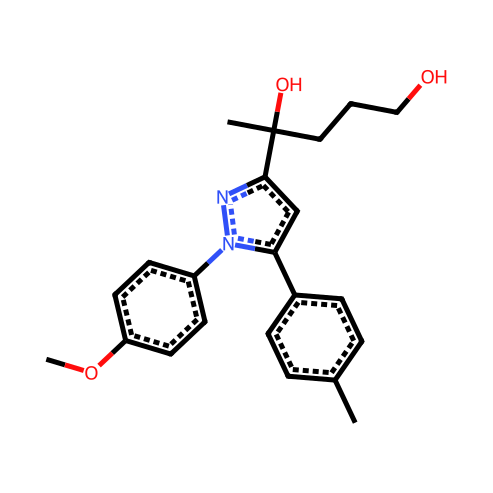 COc1ccc(-n2nc(C(C)(O)CCCO)cc2-c2ccc(C)cc2)cc1